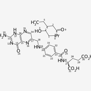 CC(C)CCO.CCCCC=O.Nc1nc(=O)c2nc(CNc3ccc(C(=O)N[C@@H](CCC(=O)O)C(=O)O)cc3)cnc2[nH]1